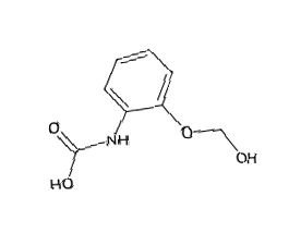 O=C(O)Nc1ccccc1OCO